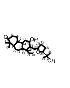 CC1(C)C(=O)CC[C@]2(C)C1CC[C@@]1(C)C2C[C@H](O)C2[C@H]([C@@]3(C)CC[C@@H](C(C)(C)O)O3)CC[C@@]21C